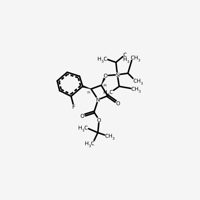 CC(C)[Si](O[C@H]1C(=O)N(C(=O)OC(C)(C)C)[C@H]1c1ccccc1F)(C(C)C)C(C)C